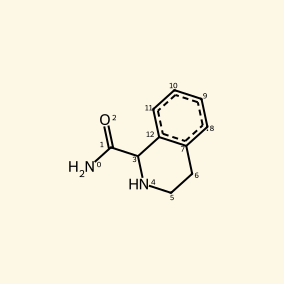 NC(=O)C1NCCc2[c]cccc21